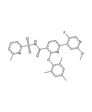 COc1cc(-c2ccc(C(=O)NS(=O)(=O)c3cccc(C)n3)c(Oc3c(C)cc(C)cc3C)n2)c(F)cn1